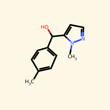 Cc1ccc(C(O)c2ccnn2C)cc1